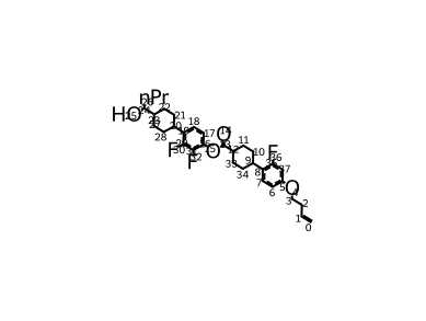 C=CCCOc1ccc(C2CCC(C(=O)Oc3ccc(C4CCC(C(O)CCC)CC4)c(F)c3F)CC2)c(F)c1